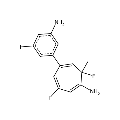 CC1(F)C=C(c2cc(N)cc(I)c2)C=C(I)C=C1N